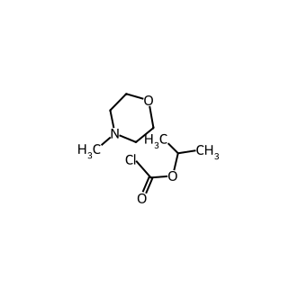 CC(C)OC(=O)Cl.CN1CCOCC1